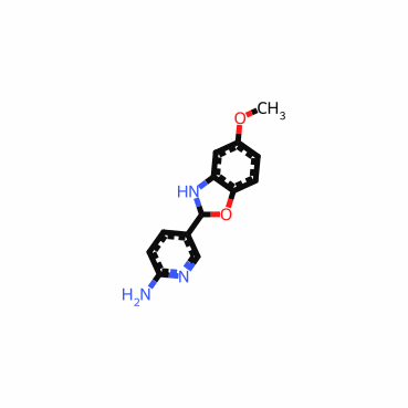 COc1ccc2c(c1)NC(c1ccc(N)nc1)O2